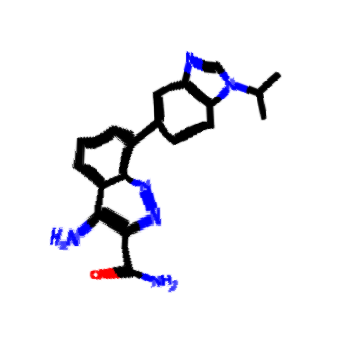 CC(C)n1cnc2cc(-c3cccc4c(N)c(C(N)=O)nnc34)ccc21